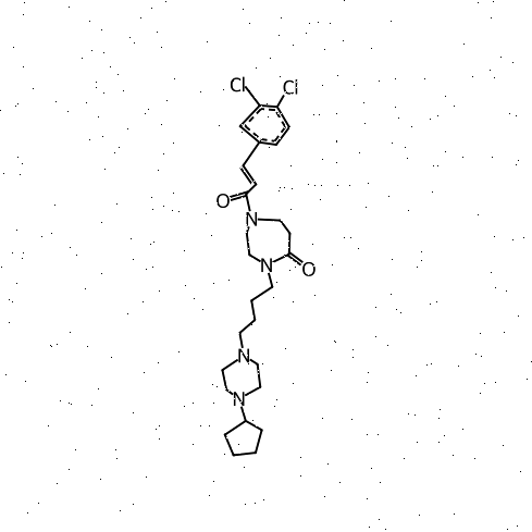 O=C(/C=C/c1ccc(Cl)c(Cl)c1)N1CCC(=O)N(CCCCN2CCN(C3CCCC3)CC2)CC1